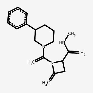 C=C(NC)C1CC(=C)N1C(=C)N1CCCC(c2ccccc2)C1